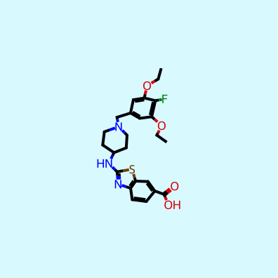 CCOc1cc(CN2CCC(Nc3nc4ccc(C(=O)O)cc4s3)CC2)cc(OCC)c1F